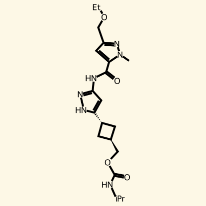 CCOCc1cc(C(=O)Nc2cc([C@H]3C[C@H](COC(=O)NC(C)C)C3)[nH]n2)n(C)n1